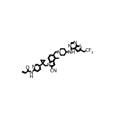 C=CC(=O)Nc1ccc(C2(Cn3c(C#N)cc4c(C)c(CN5CCC(Nc6ncnc7sc(CC(F)(F)F)cc67)CC5)ccc43)CC2)cn1